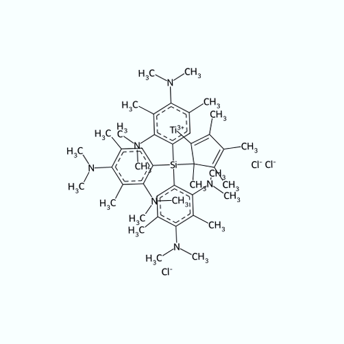 CC1=C(C)C(C)([Si](c2cc(C)c(N(C)C)c(C)c2N(C)C)(c2cc(C)c(N(C)C)c(C)c2N(C)C)c2cc(C)c(N(C)C)c(C)c2N(C)C)[C]([Ti+3])=C1C.[Cl-].[Cl-].[Cl-]